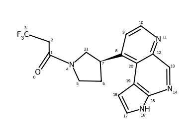 O=C(CC(F)(F)F)N1CC[C@H](c2ccnc3cnc4[nH]ccc4c23)C1